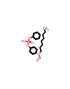 CCCCCCCCON=O.O=P(O)(Oc1ccccc1)Oc1ccccc1